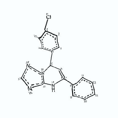 Clc1ccc(C2C=C(c3ccccc3)Nc3ncnn32)cc1